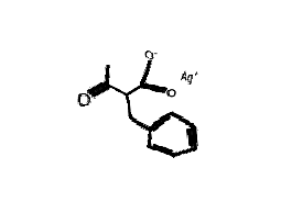 CC(=O)C(Cc1ccccc1)C(=O)[O-].[Ag+]